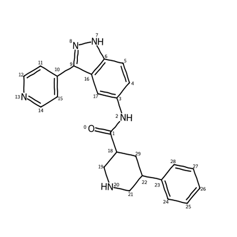 O=C(Nc1ccc2[nH]nc(-c3ccncc3)c2c1)C1CNCC(c2ccccc2)C1